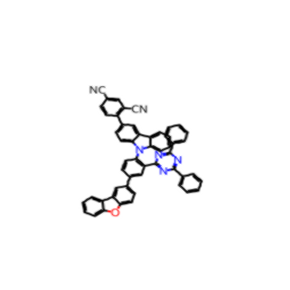 N#Cc1ccc(-c2ccc3c(c2)c2ccccc2n3-c2ccc(-c3ccc4oc5ccccc5c4c3)cc2-c2nc(-c3ccccc3)nc(-c3ccccc3)n2)c(C#N)c1